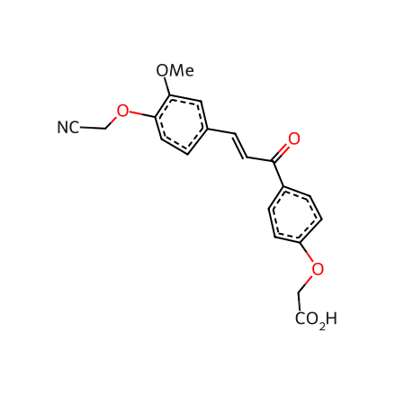 COc1cc(/C=C/C(=O)c2ccc(OCC(=O)O)cc2)ccc1OCC#N